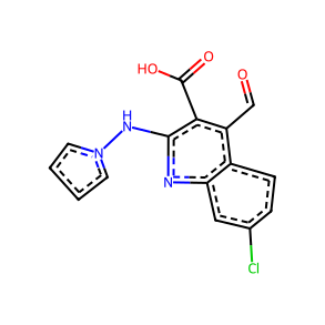 O=Cc1c(C(=O)O)c(Nn2cccc2)nc2cc(Cl)ccc12